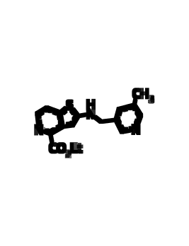 CCOC(=O)c1nccc2sc(NCc3cncc(C)c3)cc12